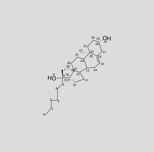 CCCCCC[C@](C)(O)[C@H]1CCC2C3CC=C4C[C@@H](O)CC[C@]4(C)C3CC[C@@]21C